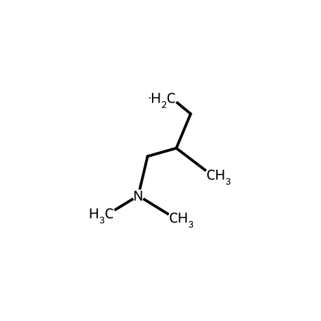 [CH2]CC(C)CN(C)C